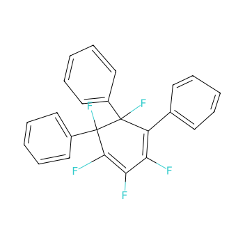 FC1=C(F)C(F)(c2ccccc2)C(F)(c2ccccc2)C(c2ccccc2)=C1F